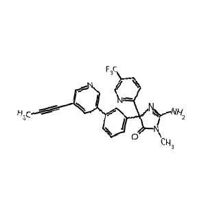 CC#Cc1cncc(-c2cccc(C3(c4ccc(C(F)(F)F)cn4)N=C(N)N(C)C3=O)c2)c1